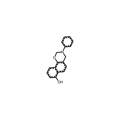 Oc1cccc2c3c(ccc12)CN(c1ccccc1)CO3